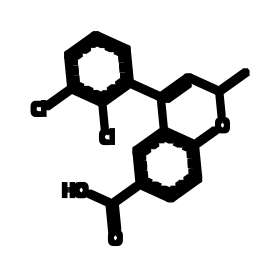 CC1C=C(c2cccc(Cl)c2Cl)c2cc(C(=O)O)ccc2O1